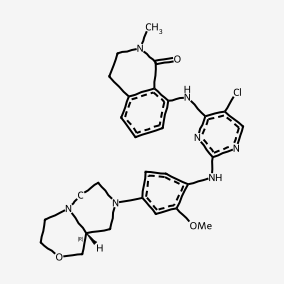 COc1cc(N2CCN3CCOC[C@H]3C2)ccc1Nc1ncc(Cl)c(Nc2cccc3c2C(=O)N(C)CC3)n1